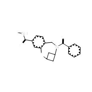 O=C(NO)c1ccc2c(c1)OC1CC(C1)N(C(=O)c1ccccc1)C2